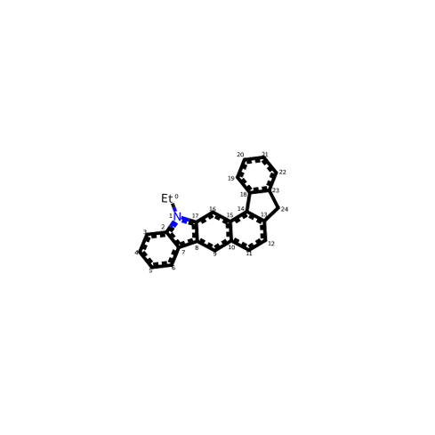 CCn1c2ccccc2c2cc3ccc4c(c3cc21)-c1ccccc1C4